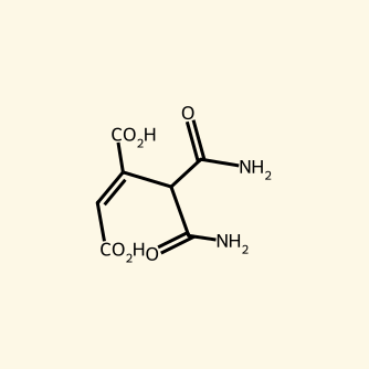 NC(=O)C(C(N)=O)/C(=C\C(=O)O)C(=O)O